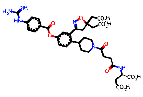 N=C(N)Nc1ccc(C(=O)Oc2ccc(C3CCN(C(=O)CCC(=O)N[C@@H](CC(=O)O)C(=O)O)CC3)c(C3=NOC(CC(=O)O)(CC(=O)O)C3)c2)cc1